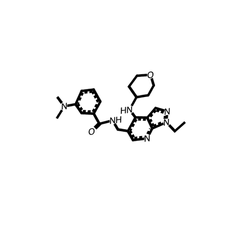 CCn1ncc2c(NC3CCOCC3)c(CNC(=O)c3cccc(N(C)C)c3)cnc21